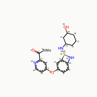 CNC(=O)c1cc(Oc2ccc3c(c2)[SH](NC2CCCC(O)C2)N3)ccn1